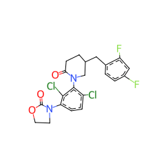 O=C1OCCN1c1ccc(Cl)c(N2CC(Cc3ccc(F)cc3F)CCC2=O)c1Cl